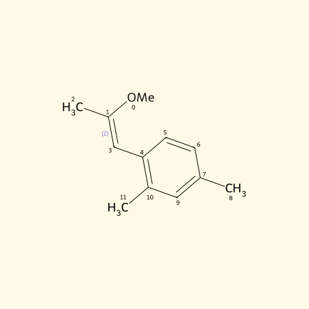 CO/C(C)=C\c1ccc(C)cc1C